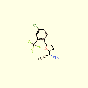 C[C@H](N)[C@@H]1CC[C@H](c2ccc(Cl)cc2C(F)(F)F)O1